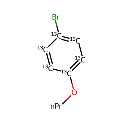 CCCO[13c]1[13cH][13cH][13c](Br)[13cH][13cH]1